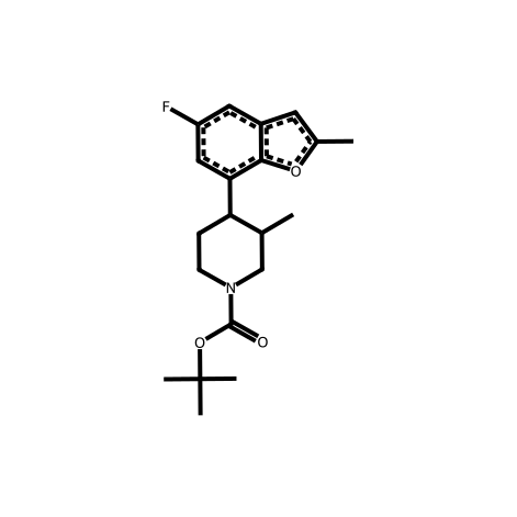 Cc1cc2cc(F)cc(C3CCN(C(=O)OC(C)(C)C)CC3C)c2o1